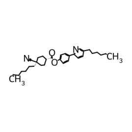 CCCCCCC[C@]1(C#N)CC[C@H](C(=O)Oc2ccc(-c3ccc(CCCCCC)cn3)cc2)CC1